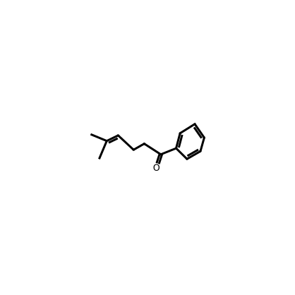 CC(C)=CCCC(=O)c1ccccc1